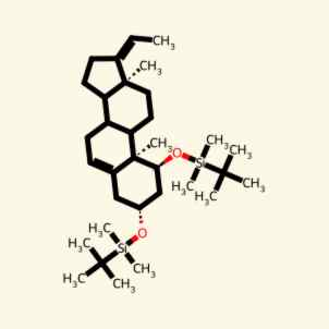 C/C=C1/CCC2C3CC=C4C[C@@H](O[Si](C)(C)C(C)(C)C)C[C@H](O[Si](C)(C)C(C)(C)C)[C@]4(C)C3CC[C@]12C